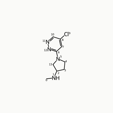 CNC1CCN(c2cc(Cl)cnn2)C1